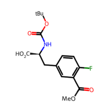 COC(=O)c1cc(C[C@H](NC(=O)OC(C)(C)C)C(=O)O)ccc1F